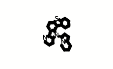 c1ccc2c(c1)sc1ccc3c4ncccc4n(-c4ccc5ccccn45)c3c12